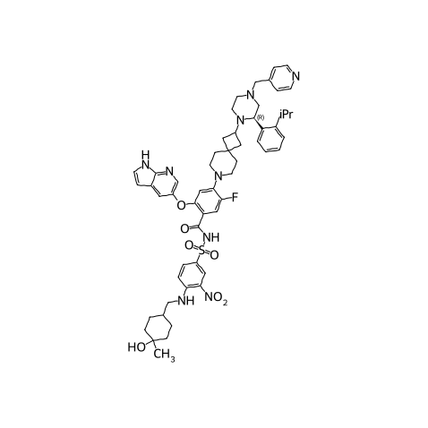 CC(C)c1ccccc1[C@@H]1CN(Cc2ccncc2)CCN1C1CC2(CCN(c3cc(Oc4cnc5[nH]ccc5c4)c(C(=O)NS(=O)(=O)c4ccc(NCC5CCC(C)(O)CC5)c([N+](=O)[O-])c4)cc3F)CC2)C1